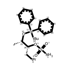 CC(C)C[C@@H](OS(N)(=O)=O)[C@H](C)O[Si](c1ccccc1)(c1ccccc1)C(C)(C)C